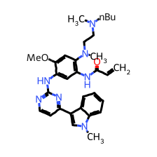 C=CC(=O)Nc1cc(Nc2nccc(-c3cn(C)c4ccccc34)n2)c(OC)cc1N(C)CCN(C)CCCC